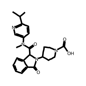 CC(C)c1ccc(N(C)C(=O)C2c3ccccc3C(=O)N2C2CCN(C(=O)O)CC2)cn1